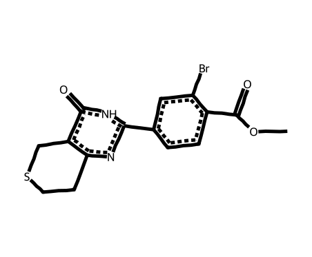 COC(=O)c1ccc(-c2nc3c(c(=O)[nH]2)CSCC3)cc1Br